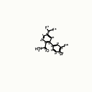 NC(=O)c1ncc(C(F)F)cc1-c1ccc(F)c(F)c1